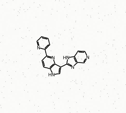 c1ccc(-c2ccc3[nH]cc(-c4nc5cnccc5[nH]4)c3n2)nc1